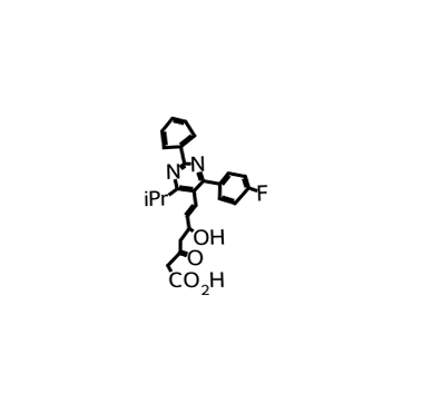 CC(C)c1nc(-c2ccccc2)nc(-c2ccc(F)cc2)c1C=CC(O)CC(=O)CC(=O)O